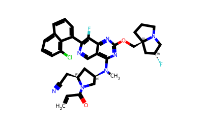 C=CC(=O)N1C[C@H](N(C)c2nc(OC[C@@]34CCCN3C[C@H](F)C4)nc3c(F)c(-c4cccc5cccc(Cl)c45)ncc23)C[C@@H]1CC#N